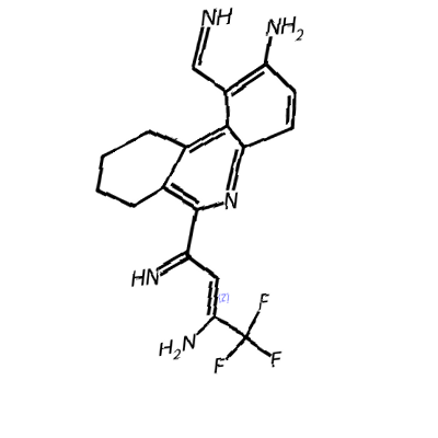 N=Cc1c(N)ccc2nc(C(=N)/C=C(\N)C(F)(F)F)c3c(c12)CCCC3